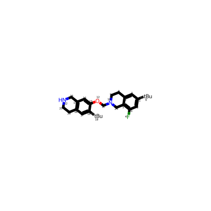 CC(C)(C)c1cc(F)c2c(c1)CCN(COc1cc3c(cc1C(C)(C)C)CCNC3)C2